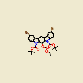 CCOC(=O)Oc1c2c(cc3c4cc(Br)ccc4n(C(=O)OC(C)(C)C)c13)c1cc(Br)ccc1n2C(=O)OC(C)(C)C